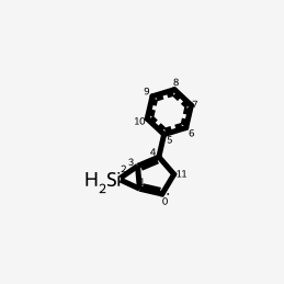 [C]1=C2[SiH2]C2=C(c2ccccc2)C1